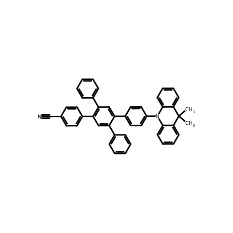 CC1(C)c2ccccc2N(c2ccc(-c3cc(-c4ccccc4)c(-c4ccc(C#N)cc4)cc3-c3ccccc3)cc2)c2ccccc21